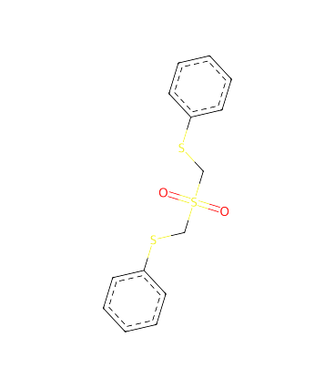 O=S(=O)(CSc1ccccc1)CSc1ccccc1